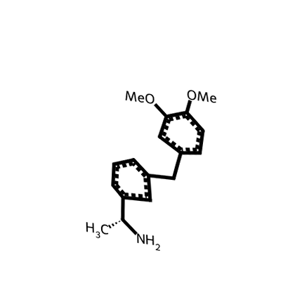 COc1ccc(Cc2cccc([C@@H](C)N)c2)cc1OC